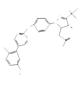 COc1ccc(F)c(-c2cnc(Oc3ccc(N4N=C(C(F)(F)F)[C@@H](C)C4CC(=O)O)cc3)nc2)c1